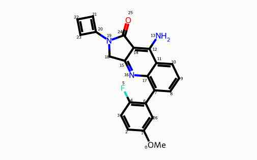 COc1ccc(F)c(-c2cccc3c(N)c4c(nc23)CN(C2=CC=C2)C4=O)c1